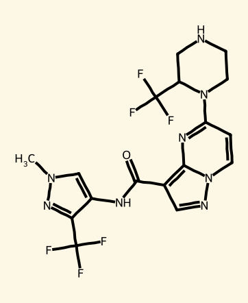 Cn1cc(NC(=O)c2cnn3ccc(N4CCNCC4C(F)(F)F)nc23)c(C(F)(F)F)n1